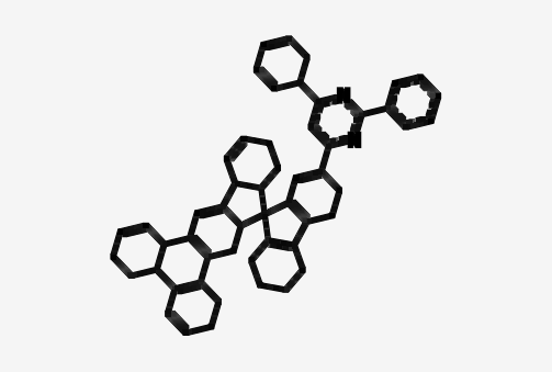 C1=CCC(c2cc(C3=CC4=C(CC3)C3=C(CCCC3)C43C4CC5=C(C=C4C4C=CCCC43)C3C=CCCC3C3=C5CCC=C3)nc(-c3ccccc3)n2)C=C1